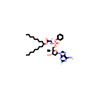 C#C[C@]1(CO[P@@](=O)(N[C@@H](C)C(=O)OC(CCCCCCCC)CCCCCCCC)Oc2ccccc2)O[C@@H](n2cnc3c(N)nc(F)nc32)C[C@@H]1O